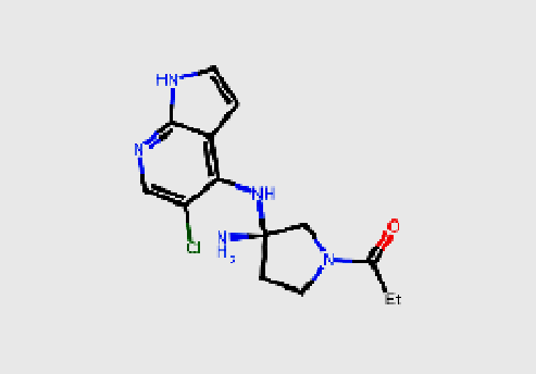 CCC(=O)N1CC[C@](N)(Nc2c(Cl)cnc3[nH]ccc23)C1